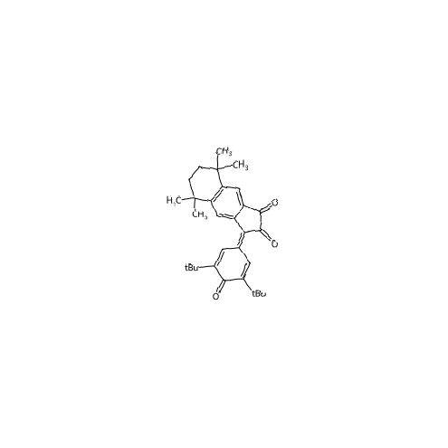 CC(C)(C)C1=CC(=C2C(=O)C(=O)c3cc4c(cc32)C(C)(C)CCC4(C)C)C=C(C(C)(C)C)C1=O